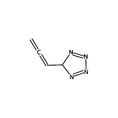 C=C=CC1N=NN=N1